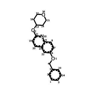 c1ccc(COc2ccc3nc(OC4CCOCC4)ccc3c2)cc1